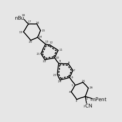 CCCCCC1(C#N)CCC(c2ccc(-c3ccc(C4CCC(CCCC)CC4)cc3)cc2)CC1